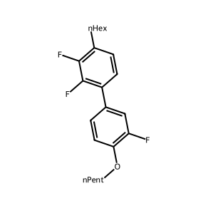 CCCCCCc1ccc(-c2ccc(OCCCCC)c(F)c2)c(F)c1F